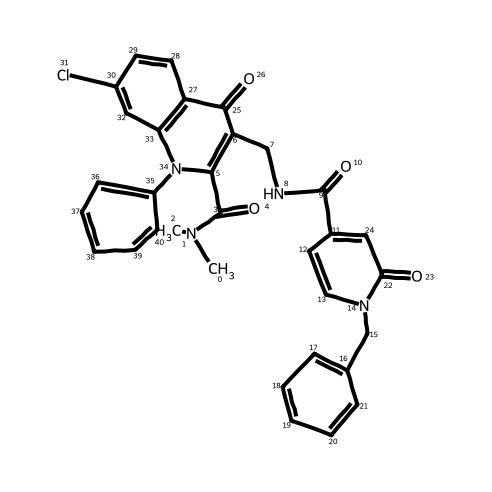 CN(C)C(=O)c1c(CNC(=O)c2ccn(Cc3ccccc3)c(=O)c2)c(=O)c2ccc(Cl)cc2n1-c1ccccc1